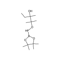 CCC(C)(O)C(C)(C)OPB1OC(C)(C)C(C)(C)O1